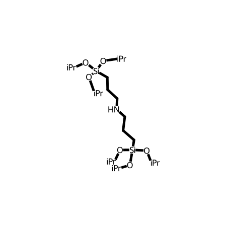 CC(C)O[Si](CCCNCCC[Si](OC(C)C)(OC(C)C)OC(C)C)(OC(C)C)OC(C)C